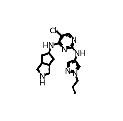 CCCn1cc(Nc2ncc(Cl)c(NC3CC4CNCC4C3)n2)cn1